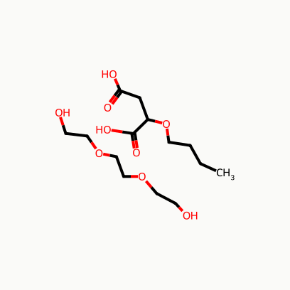 CCCCOC(CC(=O)O)C(=O)O.OCCOCCOCCO